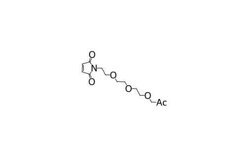 CC(=O)COCCOCCOCCN1C(=O)C=CC1=O